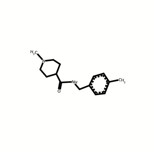 Cc1ccc(CNC(=O)C2CCN(C)CC2)cc1